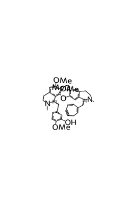 COc1ccc(C[C@@H]2c3c(cc(OC)c(OC)c3Oc3cc4c(cc3OC)CCN(C)[C@H]4CC3=CCC#CC=C3)CCN2C)cc1O